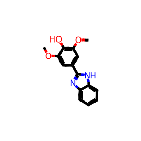 COc1cc(-c2nc3ccccc3[nH]2)cc(OC)c1O